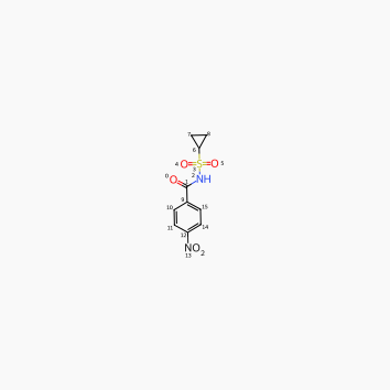 O=C(NS(=O)(=O)C1CC1)c1ccc([N+](=O)[O-])cc1